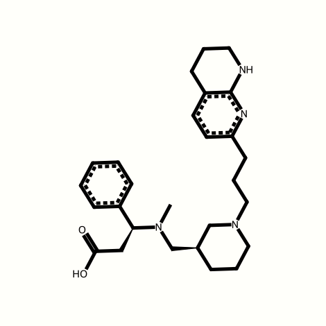 CN(C[C@@H]1CCCN(CCCc2ccc3c(n2)NCCC3)C1)[C@@H](CC(=O)O)c1ccccc1